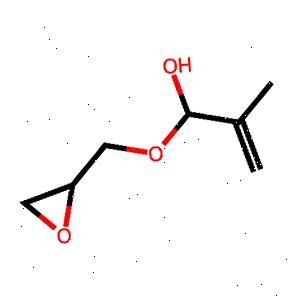 C=C(C)C(O)OCC1CO1